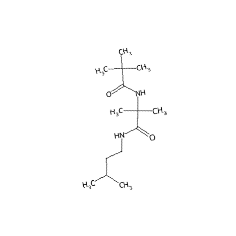 CC(C)CCNC(=O)C(C)(C)NC(=O)C(C)(C)C